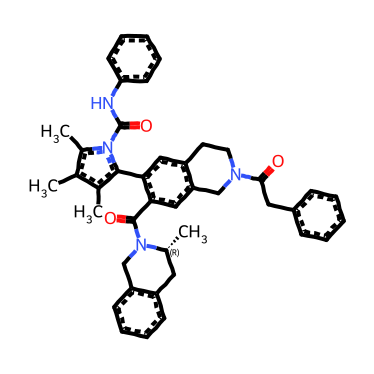 Cc1c(C)c(-c2cc3c(cc2C(=O)N2Cc4ccccc4C[C@H]2C)CN(C(=O)Cc2ccccc2)CC3)n(C(=O)Nc2ccccc2)c1C